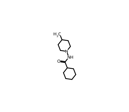 [CH2]C1CCN(NC(=O)C2CCCCC2)CC1